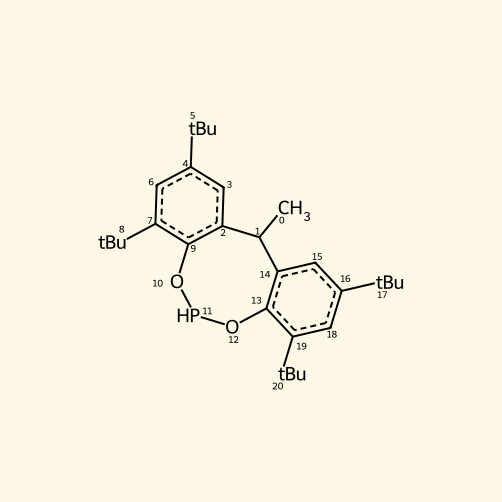 CC1c2cc(C(C)(C)C)cc(C(C)(C)C)c2OPOc2c1cc(C(C)(C)C)cc2C(C)(C)C